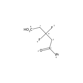 CC(C)C(=O)CC(F)(F)CC(=O)O